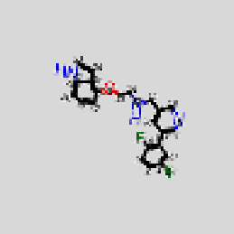 Fc1ccc(F)c(-c2cncc(CNCCOc3cccc4[nH]ccc34)c2)c1